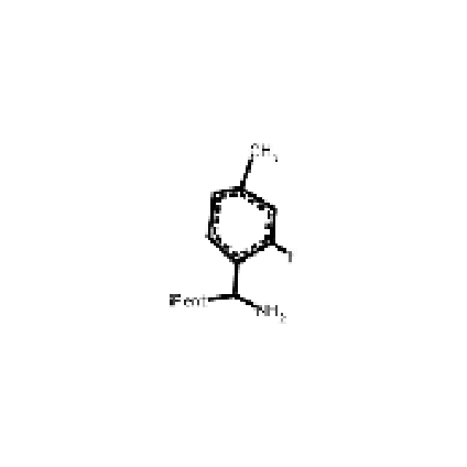 CCCC(C)C(N)c1ccc(C)cc1F